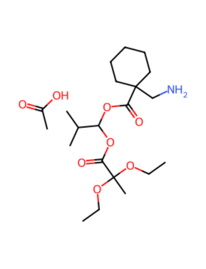 CC(=O)O.CCOC(C)(OCC)C(=O)OC(OC(=O)C1(CN)CCCCC1)C(C)C